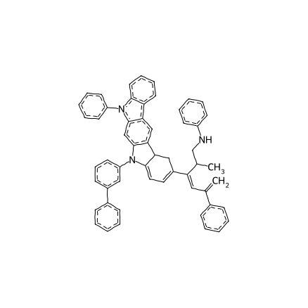 C=C(/C=C(/C1=CC=C2C(C1)c1cc3c4ccccc4n(-c4ccccc4)c3cc1N2c1cccc(-c2ccccc2)c1)C(C)CNc1ccccc1)c1ccccc1